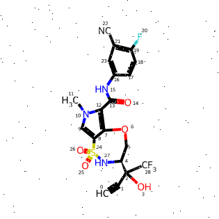 C#CC(O)([C@@H]1COc2c(cn(C)c2C(=O)Nc2ccc(F)c(C#N)c2)S(=O)(=O)N1)C(F)(F)F